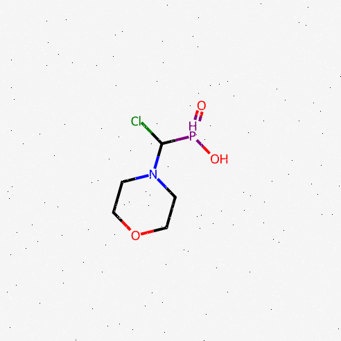 O=[PH](O)C(Cl)N1CCOCC1